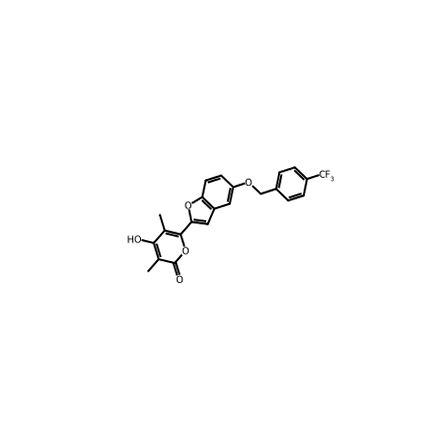 Cc1c(-c2cc3cc(OCc4ccc(C(F)(F)F)cc4)ccc3o2)oc(=O)c(C)c1O